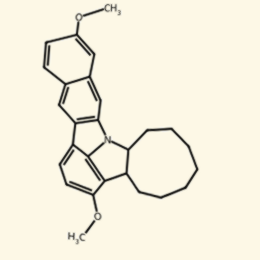 COc1ccc2cc3c4ccc(OC)c5c4n(c3cc2c1)C1CCCCCCCC51